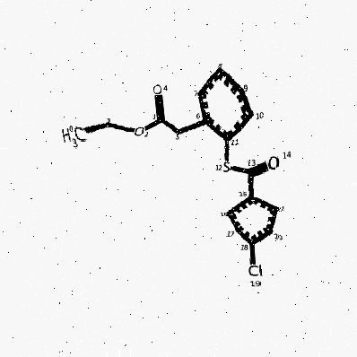 CCOC(=O)Cc1ccccc1SC(=O)c1ccc(Cl)cc1